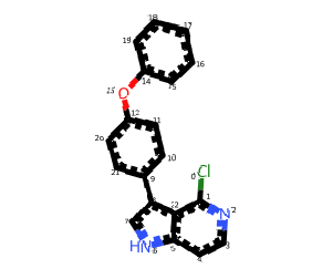 Clc1nccc2[nH]cc(-c3ccc(Oc4ccccc4)cc3)c12